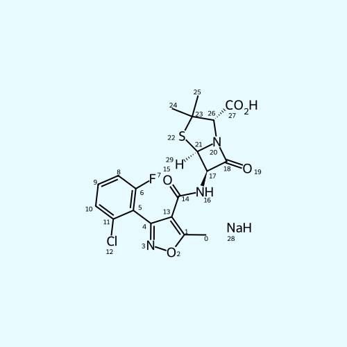 Cc1onc(-c2c(F)cccc2Cl)c1C(=O)N[C@@H]1C(=O)N2[C@@H]1SC(C)(C)[C@@H]2C(=O)O.[NaH]